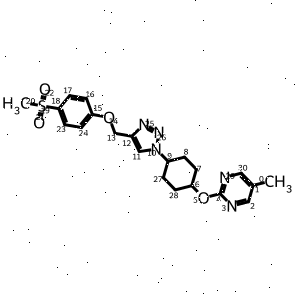 Cc1cnc(OC2CCC(n3cc(COc4ccc(S(C)(=O)=O)cc4)nn3)CC2)nc1